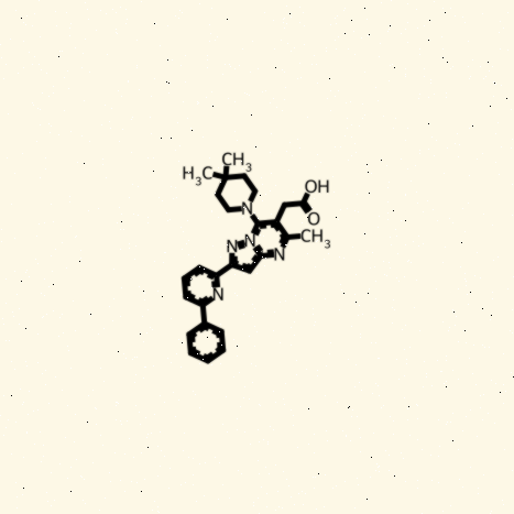 Cc1nc2cc(-c3cccc(-c4ccccc4)n3)nn2c(N2CCC(C)(C)CC2)c1CC(=O)O